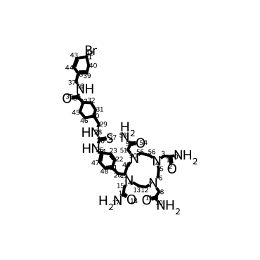 NC(=O)CN1CCN(CC(N)=O)CCN(CC(N)=O)C(Cc2ccc(NC(=S)NCC3CCC(C(=O)NCC4=CCC(Br)C=C4)CC3)cc2)CN(CC(N)=O)CC1